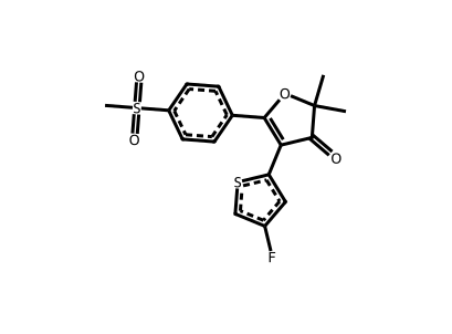 CC1(C)OC(c2ccc(S(C)(=O)=O)cc2)=C(c2cc(F)cs2)C1=O